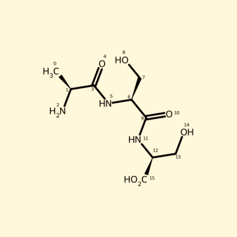 C[C@H](N)C(=O)N[C@@H](CO)C(=O)N[C@@H](CO)C(=O)O